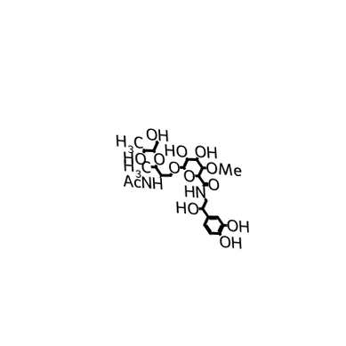 COC1C(C(=O)NCC(O)c2ccc(O)c(O)c2)OC(OC[C@H](NC(C)=O)C(C)OC(CO)[C@H](C)O)C(O)C1O